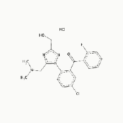 CN(C)Cc1nc(CO)nn1-c1ccc(Cl)cc1C(=O)c1ccccc1F.Cl